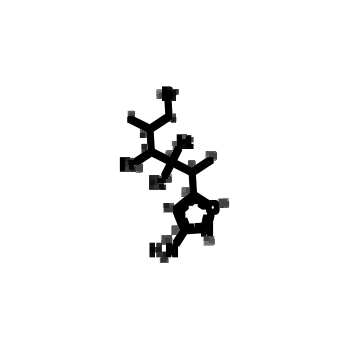 CCC(C(C)CBr)C(CC)(CC)C(C)c1cc(N)no1